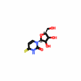 O=c1[nH]c(=S)ccn1[C@@H]1O[C@H](CO)C(O)C1O